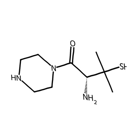 CC(C)(S)[C@H](N)C(=O)N1CCNCC1